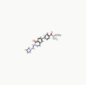 CON(C)C(=O)c1ccc(-c2ccc3c(c2)CCN(CCN2CCCC2)C3=O)cc1